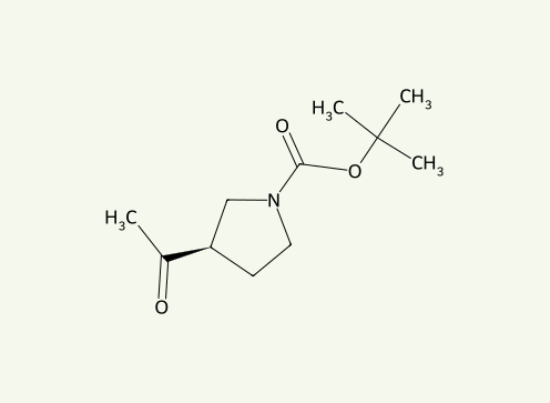 CC(=O)[C@@H]1CCN(C(=O)OC(C)(C)C)C1